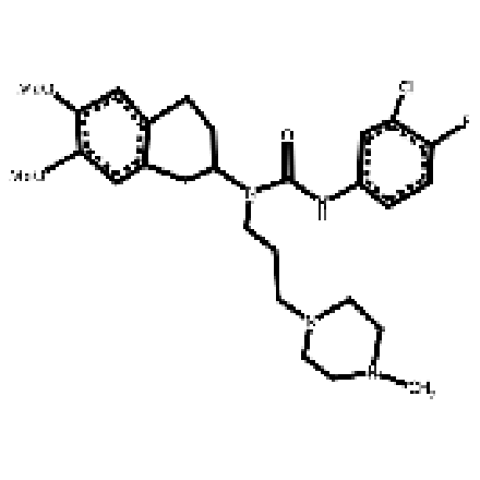 COc1cc2c(cc1OC)CC(N(CCCN1CCN(C)CC1)C(=O)Nc1ccc(F)c(Cl)c1)CC2